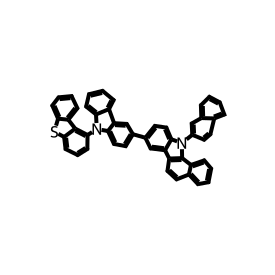 c1ccc2cc(-n3c4ccc(-c5ccc6c(c5)c5ccccc5n6-c5cccc6sc7ccccc7c56)cc4c4ccc5ccccc5c43)ccc2c1